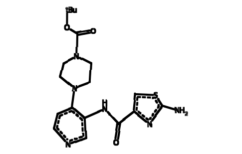 CC(C)(C)OC(=O)N1CCN(c2ccncc2NC(=O)c2csc(N)n2)CC1